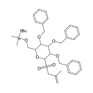 C=C(C)CS(=O)(=O)C1OC(CO[Si](C)(C)C(C)(C)C)C(OCc2ccccc2)C(OCc2ccccc2)C1OCc1ccccc1